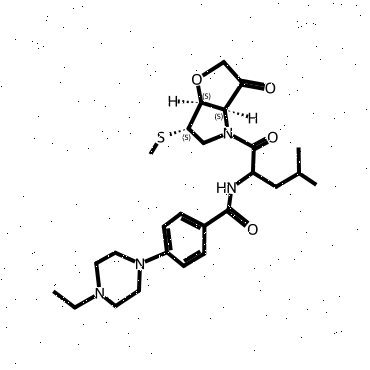 CCN1CCN(c2ccc(C(=O)NC(CC(C)C)C(=O)N3C[C@H](SC)[C@H]4OCC(=O)[C@H]43)cc2)CC1